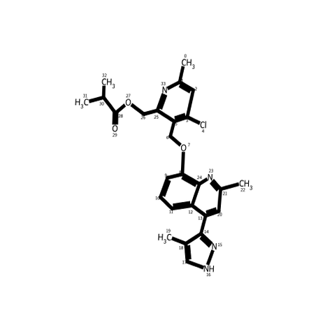 Cc1cc(Cl)c(COc2cccc3c(-c4n[nH]cc4C)cc(C)nc23)c(COC(=O)C(C)C)n1